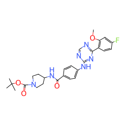 COc1cc(F)ccc1-c1ncnc(Nc2ccc(C(=O)NC3CCN(C(=O)OC(C)(C)C)CC3)cc2)n1